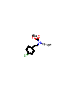 CCCCCCCN(CCc1ccc(Br)cc1)C(=O)OC(C)(C)C